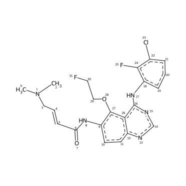 CN(C)C/C=C/C(=O)Nc1ccc2ncnc(Nc3cccc(Cl)c3F)c2c1OCCF